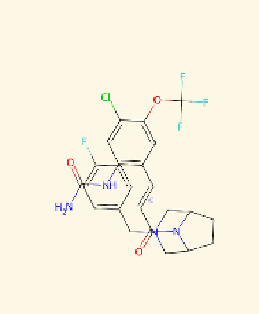 NC(=O)Nc1cc(Cl)c(OC(F)(F)F)cc1/C=C/C(=O)N1C2CCC1CN(Cc1ccc(F)cc1)C2